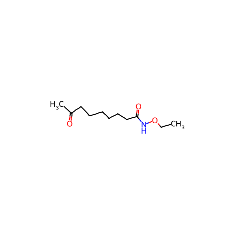 CCONC(=O)CCCCCCC(C)=O